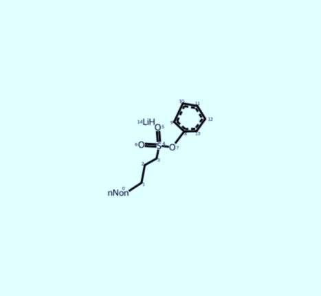 CCCCCCCCCCCCS(=O)(=O)Oc1ccccc1.[LiH]